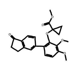 COC(=O)C1(Oc2c(-c3ccc4c(c3)CCC4=O)ccc(OC)c2OC)CC1